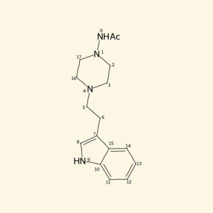 CC(=O)NN1CCN(CCc2c[nH]c3ccccc23)CC1